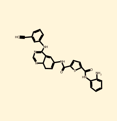 C#Cc1cccc(NC2=NC=NC3CC=C(NC(=O)c4ccc(C(=O)Nc5ccccc5N)s4)C=C23)c1